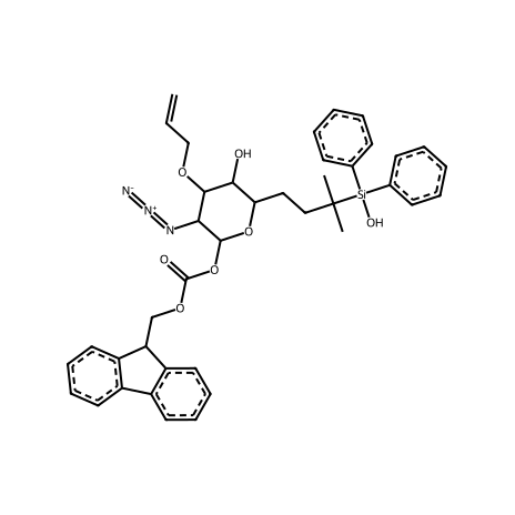 C=CCOC1C(O)C(CCC(C)(C)[Si](O)(c2ccccc2)c2ccccc2)OC(OC(=O)OCC2c3ccccc3-c3ccccc32)C1N=[N+]=[N-]